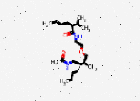 CCCCC(C(=O)NCCOCC(C)[C@H](CCCC)CNC(C)=O)C(C)C